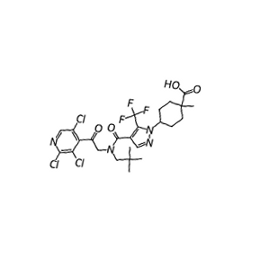 CC(C)(C)CN(CC(=O)c1c(Cl)cnc(Cl)c1Cl)C(=O)c1cnn(C2CCC(C)(C(=O)O)CC2)c1C(F)(F)F